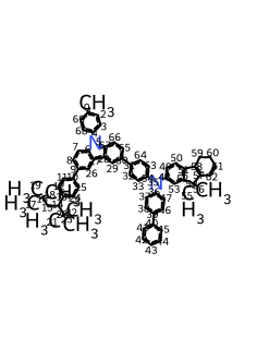 Cc1ccc(-n2c3ccc(-c4ccc(C(CC(C)(C)C)C(C)(C)C)cc4)cc3c3cc(-c4ccc(N(c5ccc(-c6ccccc6)cc5)c5ccc6c(c5)C(C)(C)C5=C6CCC=C5)cc4)ccc32)cc1